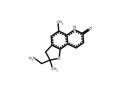 Cc1cc2c(c3ccc(=O)[nH]c13)OC(C)(CN)C2